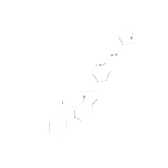 CCOC(=O)c1cn(-c2ccc(C=Cc3cscn3)cc2)nc1N(C(=O)C1CCC(C)CC1)C(C)C